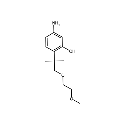 COCCOCC(C)(C)c1ccc(N)cc1O